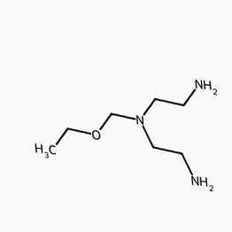 CCOCN(CCN)CCN